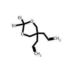 C=CCC1(CC=C)COC(CC)(CC)OC1